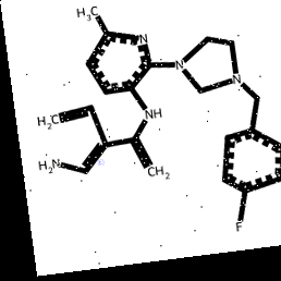 C=C/C(=C\N)C(=C)Nc1ccc(C)nc1N1CCN(Cc2ccc(F)cc2)C1